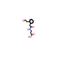 O=CCc1ccccc1CC(=O)NCCC(=O)O